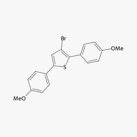 COc1ccc(-c2cc(Br)c(-c3ccc(OC)cc3)s2)cc1